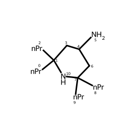 CCCC1(CCC)CC(N)CC(CCC)(CCC)N1